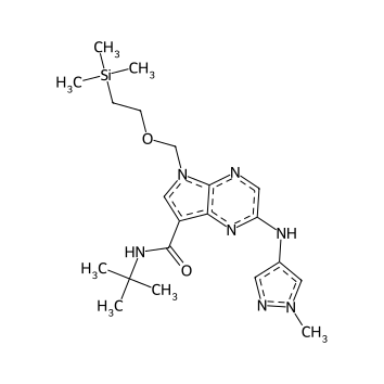 Cn1cc(Nc2cnc3c(n2)c(C(=O)NC(C)(C)C)cn3COCC[Si](C)(C)C)cn1